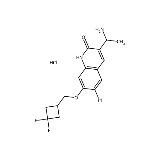 CC(N)c1cc2cc(Cl)c(OCC3CC(F)(F)C3)cc2[nH]c1=O.Cl